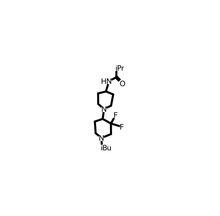 CCC(C)N1CCC(N2CCC(NC(=O)C(C)C)CC2)C(F)(F)C1